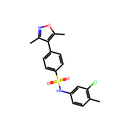 Cc1ccc(NS(=O)(=O)c2ccc(-c3c(C)noc3C)cc2)cc1Cl